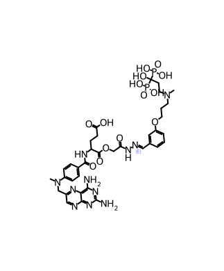 CN(CCCOc1cccc(/C=N/NC(=O)COC(=O)C(CCC(=O)O)NC(=O)c2ccc(N(C)Cc3cnc4nc(N)nc(N)c4n3)cc2)c1)CCC(O)(P(=O)(O)O)P(=O)(O)O